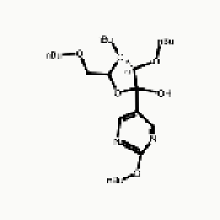 CCCCOCC(OCCCC)OC(O)(c1cnc(OCCCC)nc1)[C@H](C)OCCCC